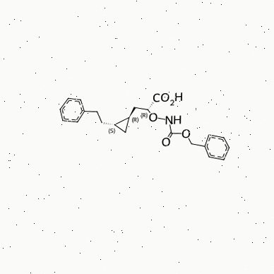 O=C(NO[C@H](C[C@H]1C[C@@H]1CCc1ccccc1)C(=O)O)OCc1ccccc1